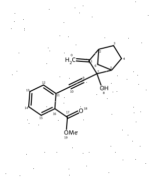 C=C1C2CCC(C2)C1(O)C#Cc1ccccc1C(=O)OC